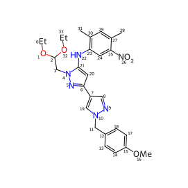 CCOC(Cn1nc(-c2cnn(Cc3ccc(OC)cc3)c2)cc1Nc1cc([N+](=O)[O-])c(C)cc1C)OCC